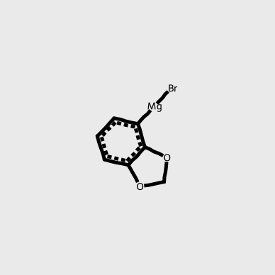 [Br][Mg][c]1cccc2c1OCO2